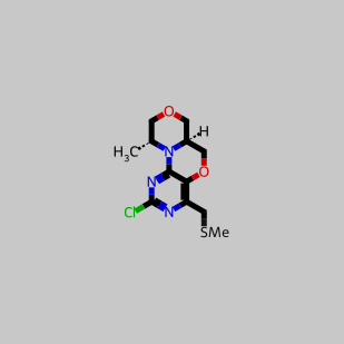 CSCc1nc(Cl)nc2c1OC[C@@H]1COC[C@@H](C)N21